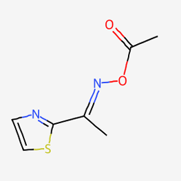 CC(=O)ON=C(C)c1nccs1